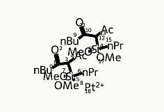 CCCCC(=O)C(C(C)=O)[Si](CCC)(OC)OC.CCCCC(=O)C(C(C)=O)[Si](CCC)(OC)OC.[Pt+2]